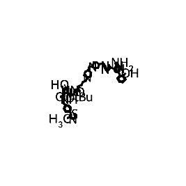 Cc1ncsc1-c1ccc(CNC(=O)[C@@H]2C[C@@H](O)CN2C(=O)[C@@H](NC(=O)CCCCN2CCC(CN3CCC(Cn4cc(-c5cc(-c6ccccc6O)nnc5N)cn4)CC3)CC2)C(C)(C)C)cc1